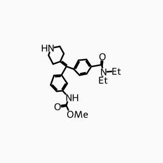 CCN(CC)C(=O)c1ccc(C(=C2CCNCC2)c2cccc(NC(=O)OC)c2)cc1